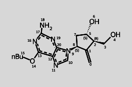 C=C1[C@H](CO)[C@@H](O)C[C@@H]1n1cnc2c(OCCCC)nc(N)nc21